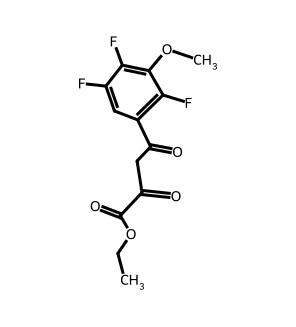 CCOC(=O)C(=O)CC(=O)c1cc(F)c(F)c(OC)c1F